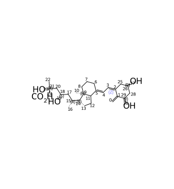 C=C1/C(=C\C=C2CCC[C@@]3(C)C2CC[C@@H]3[C@H](C)C[C@H](O)C[C@@](C)(O)C(=O)O)C[C@@H](O)C[C@H]1O